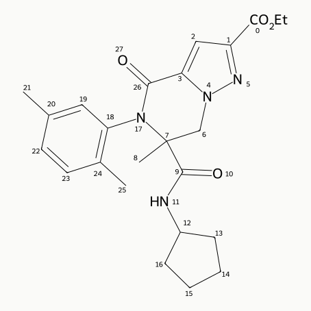 CCOC(=O)c1cc2n(n1)CC(C)(C(=O)NC1CCCC1)N(c1cc(C)ccc1C)C2=O